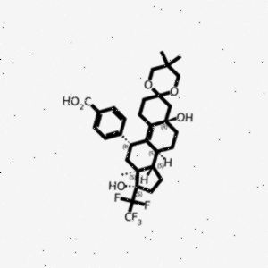 CC1(C)COC2(CCC3=C4[C@@H](CC[C@@]3(O)C2)[C@@H]2CC[C@@](O)(C(F)(F)C(F)(F)F)[C@@]2(C)C[C@@H]4c2ccc(C(=O)O)cc2)OC1